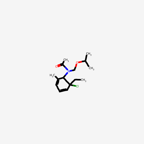 CCC1(Cl)C=CC=C(C)C1N(COC(C)C)C(C)=O